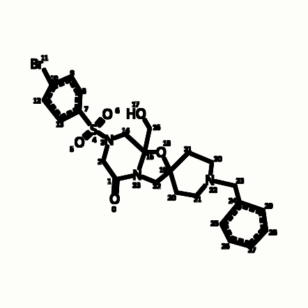 O=C1CN(S(=O)(=O)c2ccc(Br)cc2)CC2(CO)OC3(CCN(Cc4ccccc4)CC3)CN12